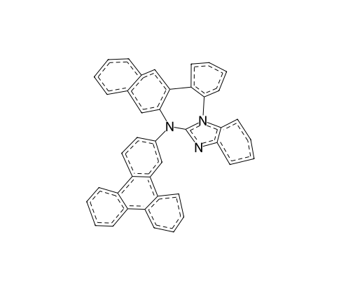 c1ccc2c(c1)-c1cc3ccccc3cc1N(c1ccc3c4ccccc4c4ccccc4c3c1)c1nc3ccccc3n1-2